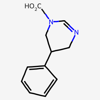 O=C(O)N1C=NCC(c2ccccc2)C1